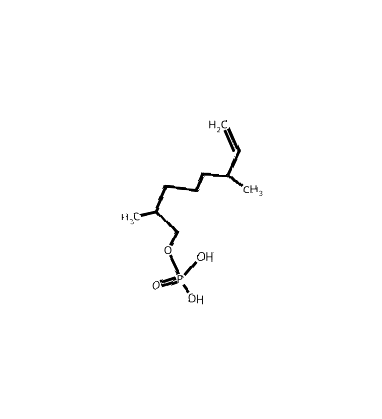 C=CC(C)CCCC(C)COP(=O)(O)O